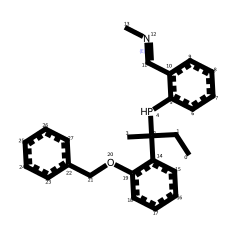 CCC(C)(Pc1ccccc1/C=N/C)c1ccccc1OCc1ccccc1